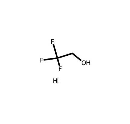 I.OCC(F)(F)F